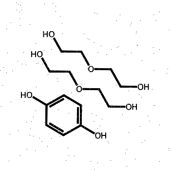 OCCOCCO.OCCOCCO.Oc1ccc(O)cc1